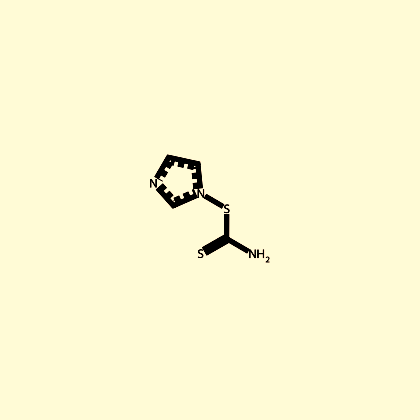 NC(=S)Sn1ccnc1